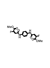 COC(=O)/C(F)=C\C(=O)Nc1ccc(NC(=O)/C=C(/F)C(=O)OC)cc1